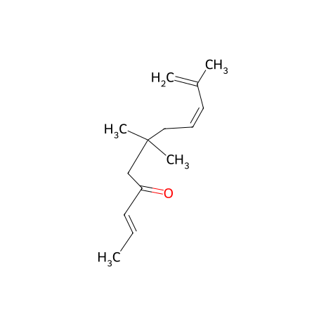 C=C(C)/C=C\CC(C)(C)CC(=O)/C=C/C